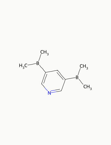 CB(C)c1cncc(B(C)C)c1